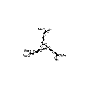 CCOC(COCCOB1OB(OCCOCC(OC)OCC)OB(OCCOCC(OC)OCC)O1)OC